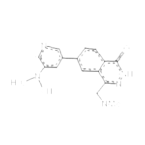 CNCc1n[nH]c(=O)c2ccc(-c3cncc(N(C)C)c3)cc12